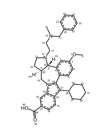 COc1ccc2c(c1)[C@@H]1[C@H](CCN1CCN(C)Cc1ccccc1)Cn1c-2c(C2CCCCC2)c2ccc(C(=O)O)cc21